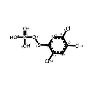 O=P(O)(O)OSc1nc(Cl)c(Cl)cc1Cl